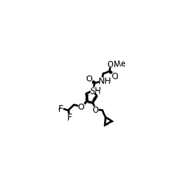 COC(=O)CNC(=O)[SH]1C=C(OCC(F)F)C(OCC2CC2)=C1